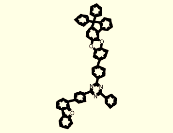 c1ccc(-c2nc(-c3ccc(-c4ccc5c(c4)Oc4ccc6c(c4O5)-c4ccccc4C6(c4ccccc4)c4ccccc4)cc3)nc(-c3ccc(-c4cccc5c4oc4ccccc45)cc3)n2)cc1